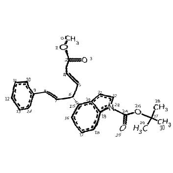 COC(=O)C=C[C@@H](C=Cc1ccccc1)c1cccc2c1ccn2C(=O)OC(C)(C)C